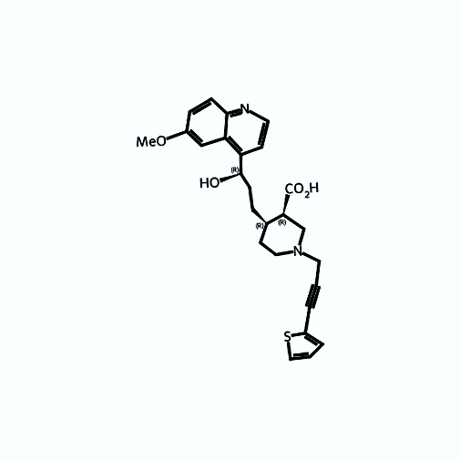 COc1ccc2nccc([C@H](O)CC[C@@H]3CCN(CC#Cc4cccs4)C[C@@H]3C(=O)O)c2c1